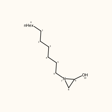 CCCCCCCCCCCCN1CC1O